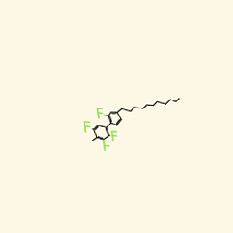 CCCCCCCCCCCc1ccc(-c2cc(F)c(C)c(F)c2F)c(F)c1